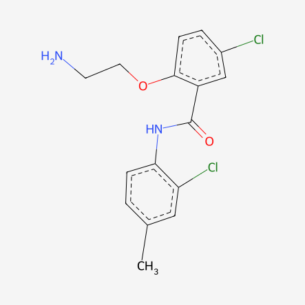 Cc1ccc(NC(=O)c2cc(Cl)ccc2OCCN)c(Cl)c1